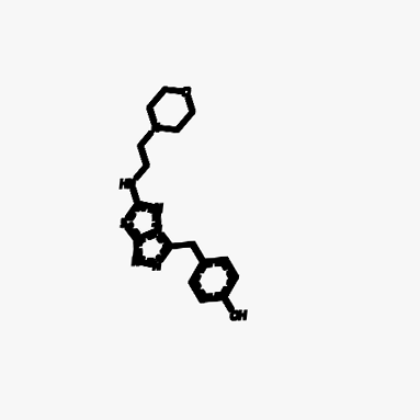 Oc1ccc(Cc2nnc3sc(NCCN4CCOCC4)nn23)cc1